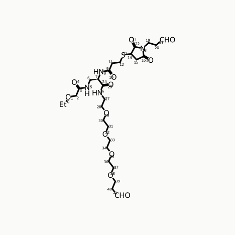 CCOCC(=O)NC[C@@H](NC(=O)CCSC1CC(=O)N(CCC=O)C1=O)C(=O)NCCOCCOCCOCCOCCC=O